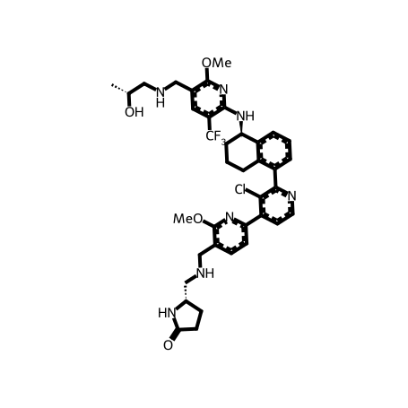 COc1nc(-c2ccnc(-c3cccc4c3CCC[C@H]4Nc3nc(OC)c(CNC[C@@H](C)O)cc3C(F)(F)F)c2Cl)ccc1CNC[C@@H]1CCC(=O)N1